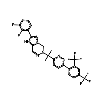 CC(C)(c1ccc(-c2ccc(C(F)(F)F)cc2C(F)(F)F)nn1)N1Cc2nc(-c3cccc(F)c3F)[nH]c2C=N1